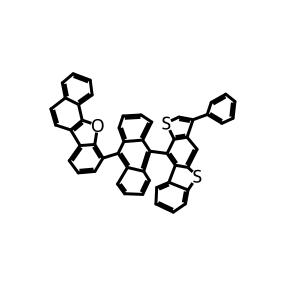 c1ccc(-c2csc3c(-c4c5ccccc5c(-c5cccc6c5oc5c7ccccc7ccc65)c5ccccc45)c4c(cc23)sc2ccccc24)cc1